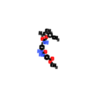 CCOC(=O)c1ccc(NC(=O)Nc2ccc(CNC(=O)COC3CC(C)CCC3C(C)C)cc2)cc1